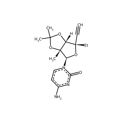 C#C[C@]1(CC)O[C@@H](n2ccc(N)nc2=O)[C@]2(C)OC(C)(C)O[C@@H]21